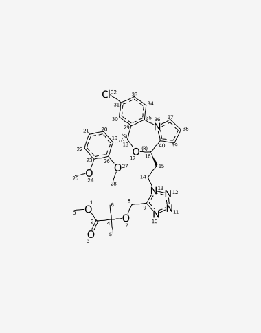 COC(=O)C(C)(C)OCc1nnnn1CC[C@H]1O[C@H](c2cccc(OC)c2OC)c2cc(Cl)ccc2-n2cccc21